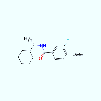 COc1ccc(C(=O)N[C@@H](C)C2CCCCC2)cc1F